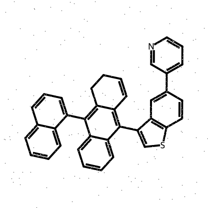 C1=Cc2c(c(-c3cccc4ccccc34)c3ccccc3c2-c2csc3ccc(-c4cccnc4)cc23)CC1